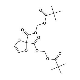 CC(C)(C)C(=O)OCOC(=O)C1(C(=O)OCOC(=O)C(C)(C)C)OC=CO1